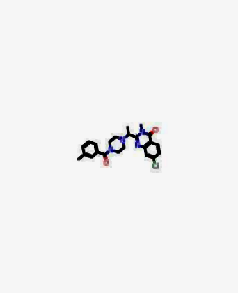 Cc1cccc(C(=O)N2CCN(C(C)c3nc4cc(Cl)ccc4c(=O)n3C)CC2)c1